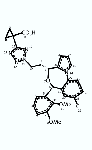 COc1cccc([C@H]2O[C@H](CCn3nnc(C4(C(=O)O)CC4)n3)c3cccn3-c3ccc(Cl)cc32)c1OC